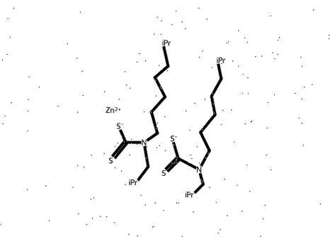 CC(C)CCCCCN(CC(C)C)C(=S)[S-].CC(C)CCCCCN(CC(C)C)C(=S)[S-].[Zn+2]